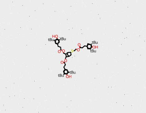 CC(C)(C)c1cc(CCC(=O)OCCSC2CC3CC2C(COC(=O)CCc2cc(C(C)(C)C)c(O)c(C(C)(C)C)c2)C3COC(=O)CCc2cc(C(C)(C)C)c(O)c(C(C)(C)C)c2)cc(C(C)(C)C)c1O